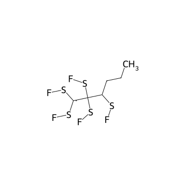 CCCC(SF)C(SF)(SF)[C](SF)SF